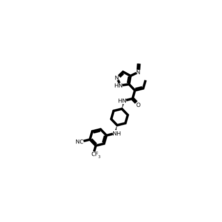 C=Nc1cn[nH]c1/C(=C\C)C(=O)N[C@H]1CC[C@@H](Nc2ccc(C#N)c(C(F)(F)F)c2)CC1